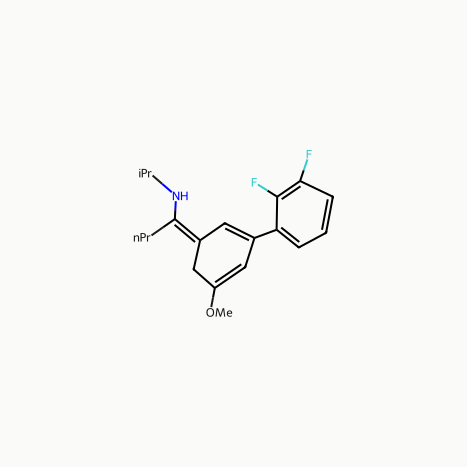 CCC/C(NC(C)C)=C1/C=C(c2cccc(F)c2F)C=C(OC)C1